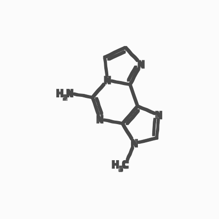 Cn1cnc2c1nc(N)n1ccnc21